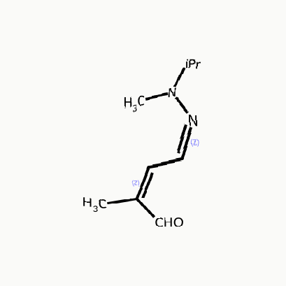 C/C(C=O)=C/C=N\N(C)C(C)C